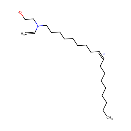 C=CN(CC[O])CCCCCCCC/C=C\CCCCCCCC